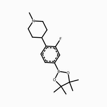 CN1CCC(c2ccc(B3OC(C)(C)C(C)(C)O3)cc2F)CC1